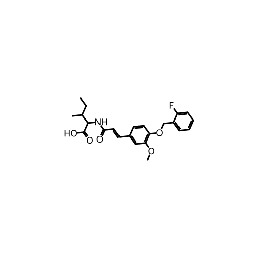 CCC(C)C(NC(=O)/C=C/c1ccc(OCc2ccccc2F)c(OC)c1)C(=O)O